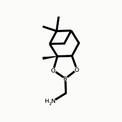 CC1(C)C2CC3OB(CN)O[C@]3(C)C1C2